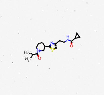 CC(C)C(=O)N1CCCC(c2nc(CCNC(=O)C3CC3)cs2)C1